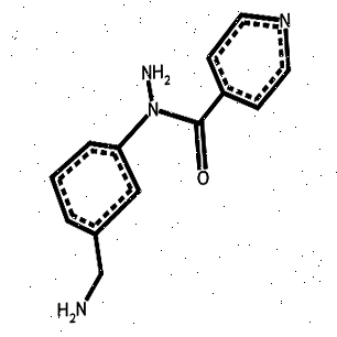 NCc1cccc(N(N)C(=O)c2ccncc2)c1